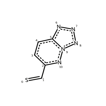 S=[C]c1ccc2nnnn2n1